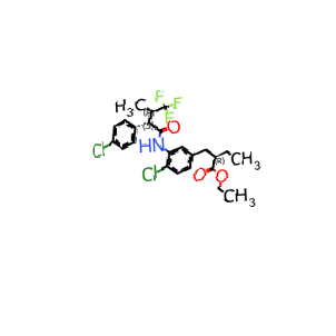 CCOC(=O)[C@H](CC)Cc1ccc(Cl)c(NC(=O)[C@H](c2ccc(Cl)cc2)[C@@H](C)C(F)(F)F)c1